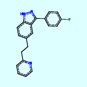 Fc1ccc(-c2n[nH]c3ccc(CCc4ccccn4)cc23)cc1